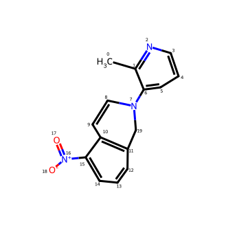 Cc1ncccc1N1C=Cc2c(cccc2[N+](=O)[O-])C1